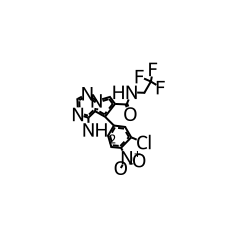 Nc1ncnn2cc(C(=O)NCC(F)(F)F)c(-c3ccc([N+](=O)[O-])c(Cl)c3)c12